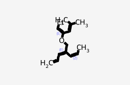 C=C/C=C(\C=C/C)CO/C(C=C(C)C)=C/CC